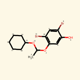 CC(Oc1cc(O)c(Br)cc1Br)OC1CCCCC1